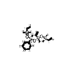 C=C[Si](C)(C)O[Si](C)(C=C)O[Si](C)(O[Si](C)(C)C=C)c1ccccc1